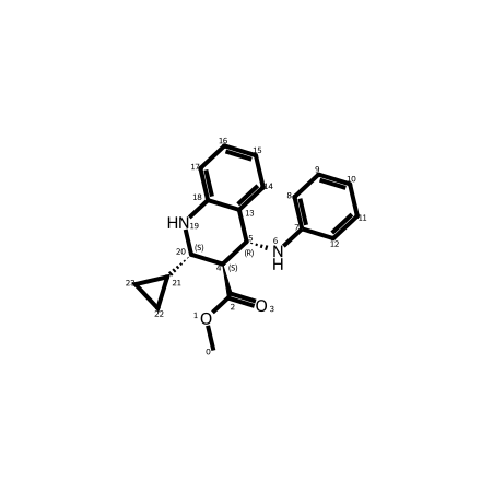 COC(=O)[C@@H]1[C@@H](Nc2ccccc2)c2ccccc2N[C@H]1C1CC1